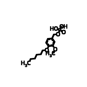 CCCCCCOc1ccc(COP(=O)(O)O)cc1OC